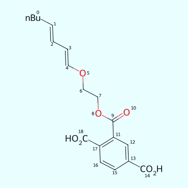 CCCCC=CC=COCCOC(=O)c1cc(C(=O)O)ccc1C(=O)O